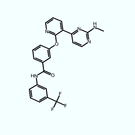 CNc1nccc(-c2cccnc2Oc2cccc(C(=O)Nc3cccc(C(F)(F)F)c3)c2)n1